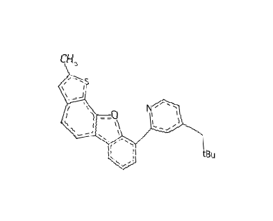 Cc1cc2ccc3c4cccc(-c5cc(CC(C)(C)C)ccn5)c4oc3c2s1